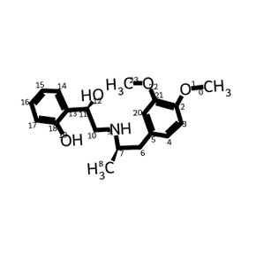 COc1ccc(C[C@@H](C)NC[C@H](O)c2ccccc2O)cc1OC